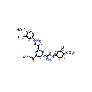 CNC(=O)c1cc(-c2cn(-c3ccc(C(=O)O)c(C(F)(F)F)c3)nn2)nc(-c2cn(-c3ccc(C(=O)O)c(C(F)(F)F)c3)nn2)c1